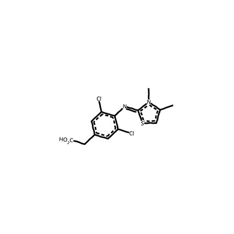 Cc1csc(=Nc2c(Cl)cc(CC(=O)O)cc2Cl)n1C